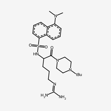 CN(C)c1cccc2c(S(=O)(=O)NC(CCCN=C(N)N)C(=O)N3CCN(C(C)(C)C)CC3)cccc12